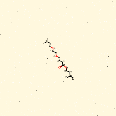 CC(C)CCOCCOCCCC(=O)OCCC(C)C